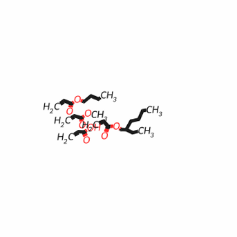 C=CC(=O)O.C=CC(=O)OC.C=CC(=O)OCC(CC)CCCC.C=CC(=O)OCCCC